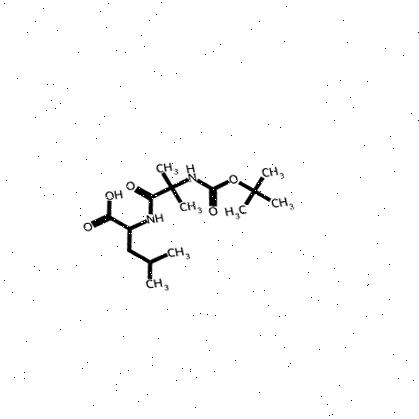 CC(C)CC(NC(=O)C(C)(C)NC(=O)OC(C)(C)C)C(=O)O